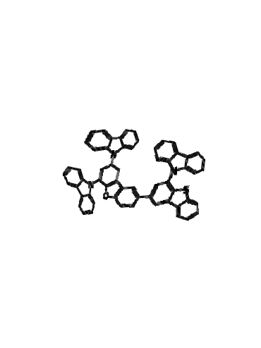 C1=C(n2c3ccccc3c3ccccc32)c2oc3ccc(-c4cc(-n5c6ccccc6c6ccccc65)c5sc6ccccc6c5c4)cc3c2CC1n1c2ccccc2c2ccccc21